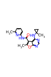 Cc1cccc(NC(=O)c2c(C)oc3ncnc(NC4(C)CC4)c23)n1